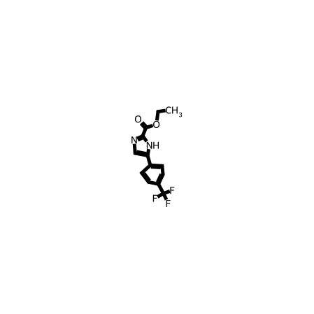 CCOC(=O)c1ncc(-c2ccc(C(F)(F)F)cc2)[nH]1